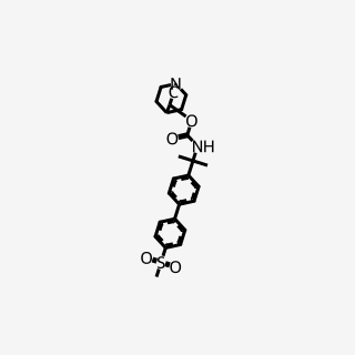 CC(C)(NC(=O)OC1CN2CCC1CC2)c1ccc(-c2ccc(S(C)(=O)=O)cc2)cc1